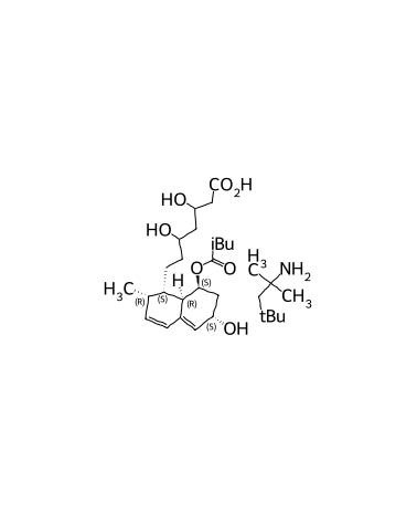 CC(C)(C)CC(C)(C)N.CCC(C)C(=O)O[C@H]1C[C@H](O)C=C2C=C[C@H](C)[C@H](CCC(O)CC(O)CC(=O)O)[C@H]21